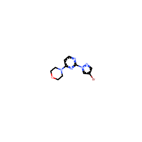 Brc1cnn(-c2nccc(N3CCOCC3)n2)c1